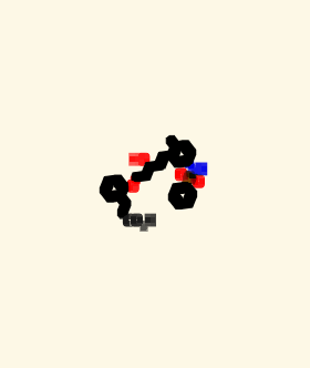 Cc1ccc(NS(=O)(=O)c2ccccc2)cc1/C=C/[C@H](O)CCOc1ccccc1CCC(=O)O